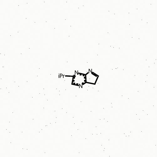 CC(C)c1cnc2c(n1)N=CC2